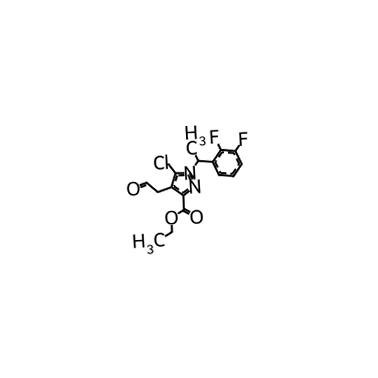 CCOC(=O)c1nn(C(C)c2cccc(F)c2F)c(Cl)c1CC=O